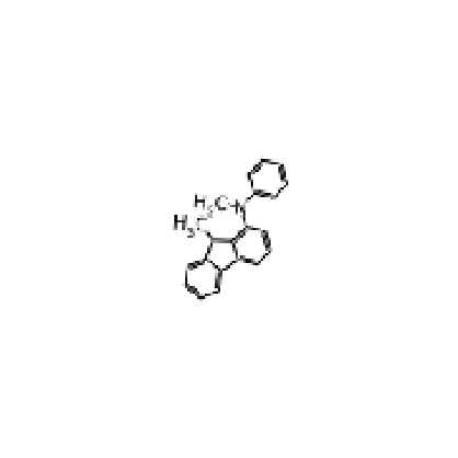 CC1c2ccccc2-c2cccc(N(C)c3ccccc3)c21